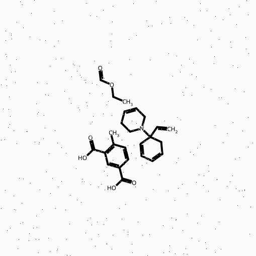 C=CC1(N2CC=CCC2)C=CC=CC1.CCOC=O.Cc1ccc(C(=O)O)cc1C(=O)O